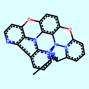 Cc1cc2n(n1)[N+]13c4c(ccc5c4-n4c6c(ccnc6c6ccc[n+]1c64)O5)Oc1cccc-2[n+]13